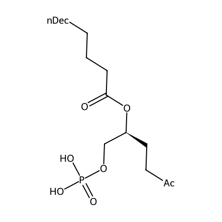 CCCCCCCCCCCCCC(=O)O[C@@H](CCC(C)=O)COP(=O)(O)O